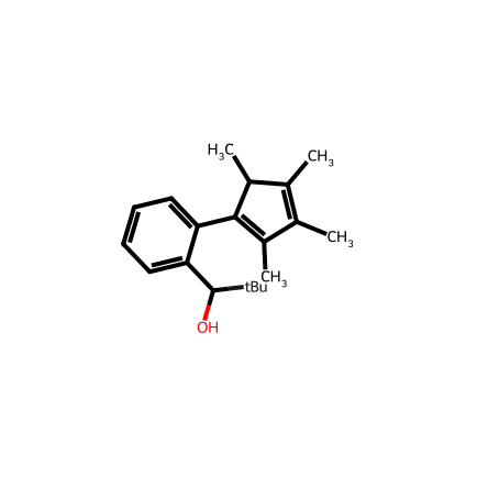 CC1=C(C)C(C)C(c2ccccc2C(O)C(C)(C)C)=C1C